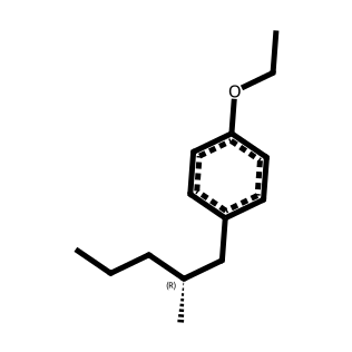 CCC[C@@H](C)Cc1ccc(OCC)cc1